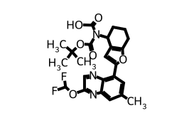 Cc1cc(-c2cc3c(o2)CCCC3N(C(=O)O)C(=O)OC(C)(C)C)c2ncc(OC(F)F)nc2c1